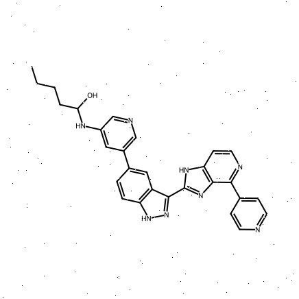 CCCCC(O)Nc1cncc(-c2ccc3[nH]nc(-c4nc5c(-c6ccncc6)nccc5[nH]4)c3c2)c1